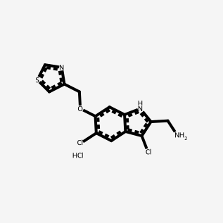 Cl.NCc1[nH]c2cc(OCc3cscn3)c(Cl)cc2c1Cl